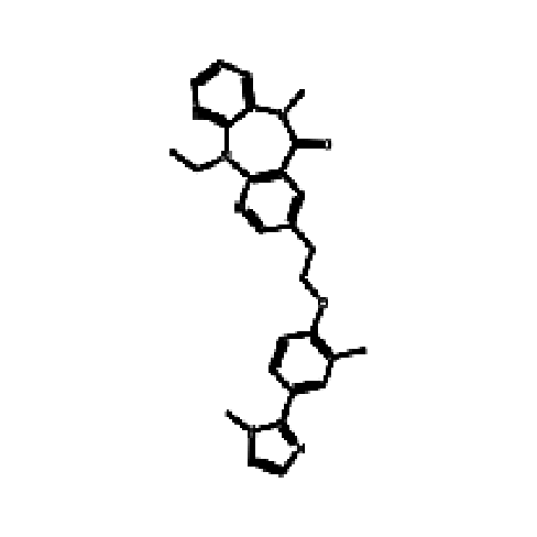 CCN1c2ncc(CCOc3ccc(-c4nccn4C)cc3C)cc2C(=O)N(C)c2cccnc21